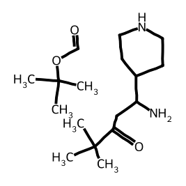 CC(C)(C)C(=O)CC(N)C1CCNCC1.CC(C)(C)OC=O